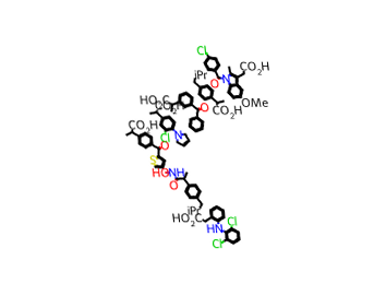 CC(C(=O)O)c1ccc(C(=O)c2cccs2)cc1.CC(C(=O)O)c1ccc(N2CC=CC2)c(Cl)c1.CC(C(=O)O)c1cccc(C(=O)c2ccccc2)c1.CC(C)Cc1ccc(C(C)C(=O)NO)cc1.CC(C)Cc1ccc(C(C)C(=O)O)cc1.COc1ccc2c(c1)c(CC(=O)O)c(C)n2C(=O)c1ccc(Cl)cc1.O=C(O)Cc1ccccc1Nc1c(Cl)cccc1Cl